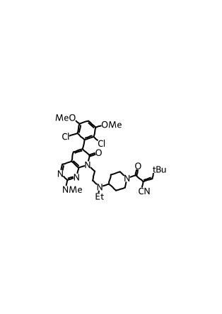 CCN(CCn1c(=O)c(-c2c(Cl)c(OC)cc(OC)c2Cl)cc2cnc(NC)nc21)C1CCN(C(=O)/C(C#N)=C\C(C)(C)C)CC1